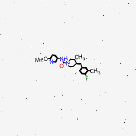 COc1ccc(NC(=O)N2CCC(=Cc3ccc(F)c(C)c3)C(C)C2)cn1